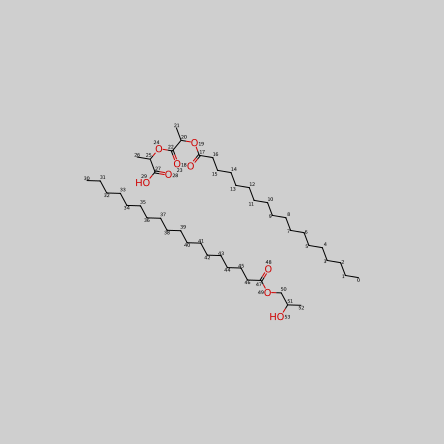 CCCCCCCCCCCCCCCCCC(=O)OC(C)C(=O)OC(C)C(=O)O.CCCCCCCCCCCCCCCCCC(=O)OCC(C)O